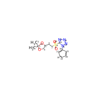 CC1(C)OCC(CCS(=O)(=O)c2nnnn2-c2ccccc2)O1